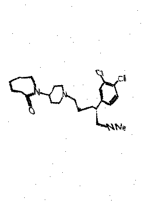 CNC[C@@H](CCN1CCC(N2CCCCC2=O)CC1)c1ccc(Cl)c(Cl)c1